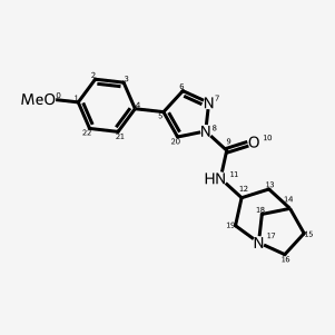 COc1ccc(-c2cnn(C(=O)NC3CC4CCN(C4)C3)c2)cc1